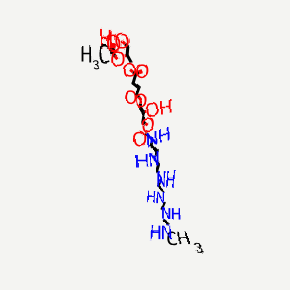 CNCCNCCNCCNCCNCCNC(=O)OCC(O)COC(=O)CCC(=O)OCC(CO)OC(C)=O